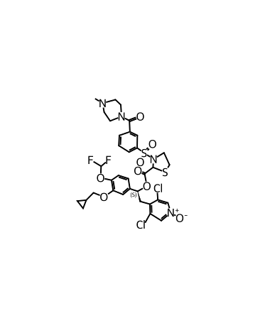 CN1CCN(C(=O)c2cccc(S(=O)(=O)N3CCSC3C(=O)O[C@@H](Cc3c(Cl)c[n+]([O-])cc3Cl)c3ccc(OC(F)F)c(OCC4CC4)c3)c2)CC1